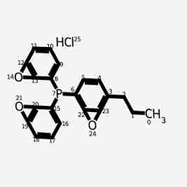 CCCc1ccc(P(c2cccc3c2O3)c2cccc3c2O3)c2c1O2.Cl